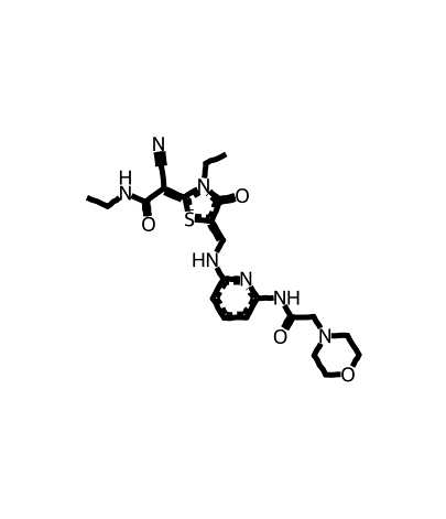 CCNC(=O)C(C#N)=c1sc(=CNc2cccc(NC(=O)CN3CCOCC3)n2)c(=O)n1CC